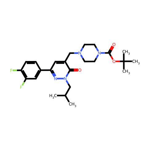 CC(C)Cn1nc(-c2ccc(F)c(F)c2)cc(CN2CCN(C(=O)OC(C)(C)C)CC2)c1=O